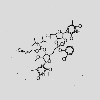 [2H]C[C@H]1O[C@@H](n2cc(C)c(=O)[nH]c2=O)[C@H](OC)[C@@H]1OP(=O)(CC[C@H]1O[C@@H](n2cc(C)c(=O)[nH]c2=O)[C@H](OC)[C@@H]1OP(OCC[N+]#[C-])N(C(C)C)C(C)C)Oc1ccccc1Cl